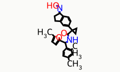 Cc1ccc(C(NC(=O)C2(c3ccc4c(c3)CCC4=NO)CC2)c2ccc(C)o2)c(C)c1